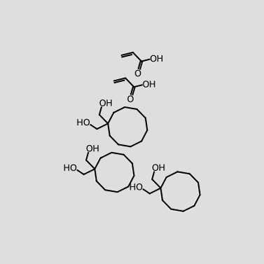 C=CC(=O)O.C=CC(=O)O.OCC1(CO)CCCCCCCCC1.OCC1(CO)CCCCCCCCC1.OCC1(CO)CCCCCCCCC1